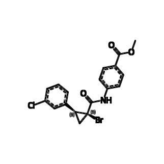 COC(=O)c1ccc(NC(=O)[C@]2(Br)C[C@H]2c2cccc(Cl)c2)cc1